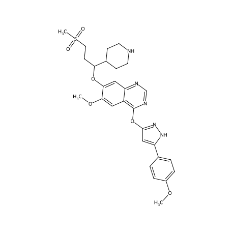 COc1ccc(-c2cc(Oc3ncnc4cc(OC(CCS(C)(=O)=O)C5CCNCC5)c(OC)cc34)n[nH]2)cc1